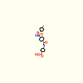 Cc1ccc(S(=O)(=O)Nc2ccc(C(=O)/C=C/c3ccc(C(=O)O)cc3)cc2)cc1